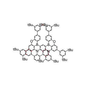 CC(C)(C)c1cc(-c2ccc3c(c2)Oc2cc(-c4cc(C(C)(C)C)cc(C(C)(C)C)c4)cc4c2B3c2cc3c(cc2N4c2cc(C(C)(C)C)cc(C(C)(C)C)c2)N(c2c(-c4ccccc4)cccc2-c2ccccc2)c2cc(-c4cc(C(C)(C)C)cc(C(C)(C)C)c4)cc4c2B3c2ccc(-c3cc(C(C)(C)C)cc(C(C)(C)C)c3)cc2O4)cc(C(C)(C)C)c1